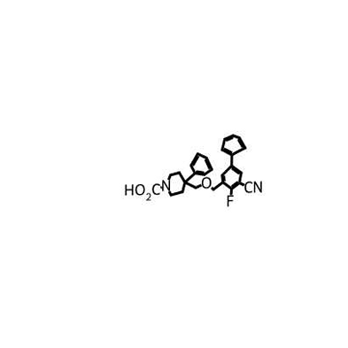 N#Cc1cc(-c2ccccc2)cc(COCC2(c3ccccc3)CCN(C(=O)O)CC2)c1F